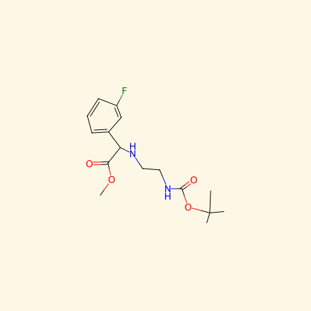 COC(=O)C(NCCNC(=O)OC(C)(C)C)c1cccc(F)c1